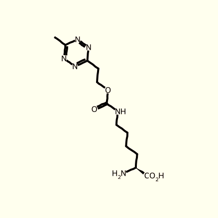 Cc1nnc(CCOC(=O)NCCCC[C@H](N)C(=O)O)nn1